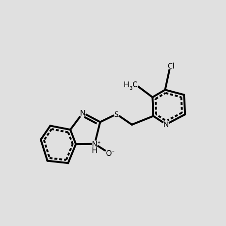 Cc1c(Cl)ccnc1CSC1=Nc2ccccc2[NH+]1[O-]